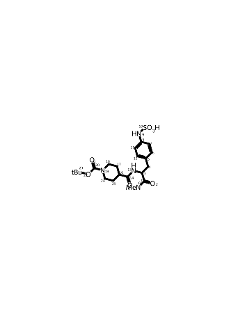 CNC(=O)C(Cc1ccc(NS(=O)(=O)O)cc1)NC(=O)C1CCN(C(=O)OC(C)(C)C)CC1